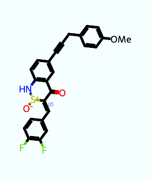 COc1ccc(CC#Cc2ccc3c(c2)C(=O)/C(=C/c2ccc(F)c(F)c2)[S+]([O-])N3)cc1